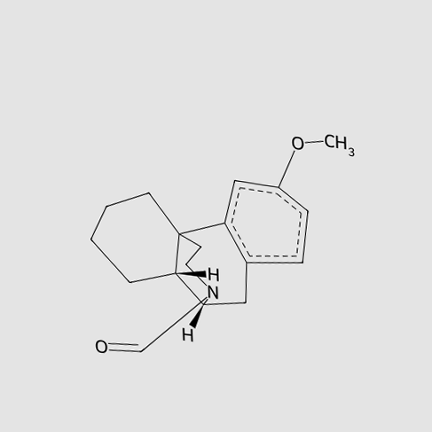 COc1ccc2c(c1)C13CCCC[C@H]1[C@@H](C2)N(C=O)CC3